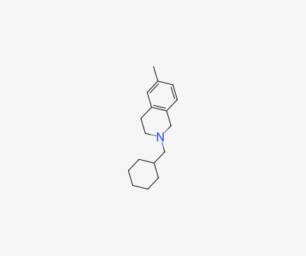 Cc1ccc2c(c1)CCN(CC1CCCCC1)C2